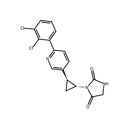 O=C1CNC(=O)N1[C@@H]1C[C@H]1c1ccc(-c2cccc(Cl)c2Cl)nc1